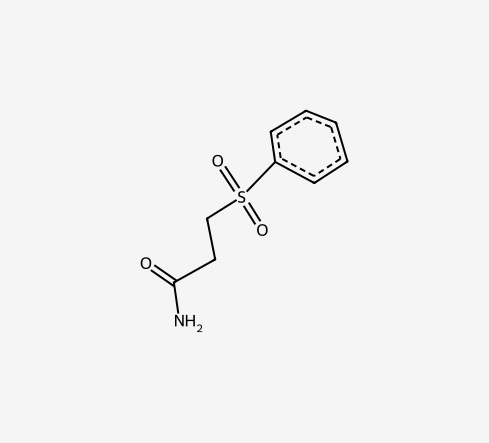 NC(=O)CCS(=O)(=O)c1ccccc1